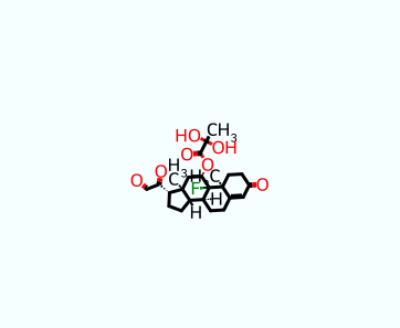 CC(O)(O)C(=O)O[C@H]1C[C@]2(C)[C@@H](C(=O)C=O)CC[C@H]2[C@@H]2CCC3=CC(=O)CC[C@]3(C)[C@@]12F